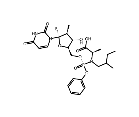 CCC(C)CN([C@H](C)C(=O)O)[P@@](=O)(OC[C@H]1O[C@@](F)(n2ccc(=O)[nH]c2=O)[C@@H](C)[C@@H]1O)Oc1ccccc1